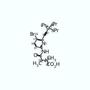 CC(C)[Si](C#Cc1nc(NC(=O)[C@H](C)N(C)C(=O)O)ccc1Br)(C(C)C)C(C)C